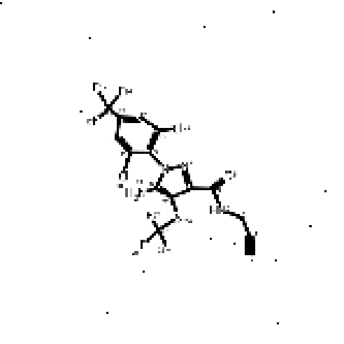 C#CCNC(=O)c1nn(-c2c(Cl)cc(C(F)(F)F)cc2Cl)c(N)c1SC(F)(F)F